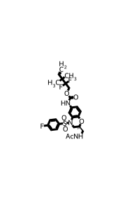 C=CC(C)(C)C(F)(F)COC(=O)Nc1ccc2c(c1)N(S(=O)(=O)c1ccc(F)cc1)C[C@H](CNC(C)=O)O2